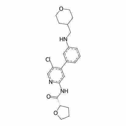 O=C(Nc1cc(-c2cccc(NCC3CCOCC3)c2)c(Cl)cn1)[C@@H]1CCCO1